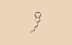 O=CC=Cc1cc2ccccc2s1